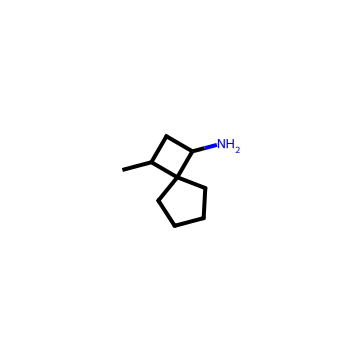 CC1CC(N)C12CCCC2